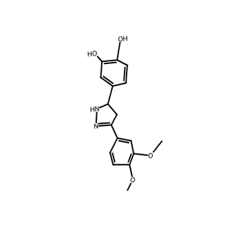 COc1ccc(C2=NNC(c3ccc(O)c(O)c3)C2)cc1OC